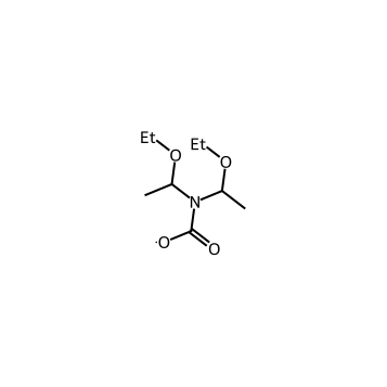 CCOC(C)N(C([O])=O)C(C)OCC